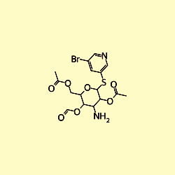 CC(=O)OCC1OC(Sc2cncc(Br)c2)C(OC(C)=O)C(N)C1OC=O